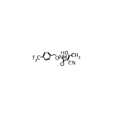 CC(O)=C(C#N)C(=O)NOCc1ccc(C(F)(F)F)cc1